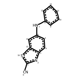 N#Cc1nc2ccc(Nc3ccccc3)cc2s1